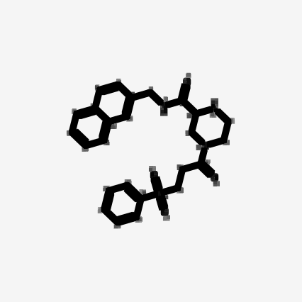 O=C(NCc1ccc2ccccc2c1)C1CN(C(=O)CCS(=O)(=O)c2ccccc2)CCN1